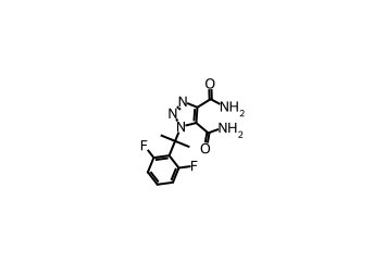 CC(C)(c1c(F)cccc1F)n1nnc(C(N)=O)c1C(N)=O